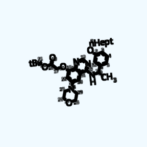 CCCCCCCOc1cccc([C@@H](C)Nc2ncnc3c(OCC(=O)OC(C)(C)C)cc(N4CCOCC4)cc23)c1